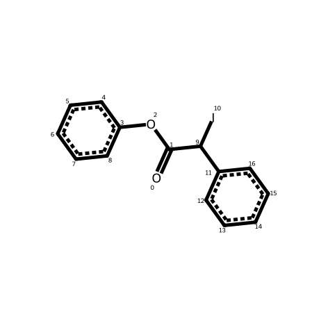 O=C(Oc1ccccc1)C(I)c1ccccc1